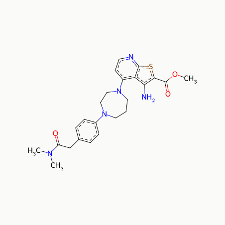 COC(=O)c1sc2nccc(N3CCCN(c4ccc(CC(=O)N(C)C)cc4)CC3)c2c1N